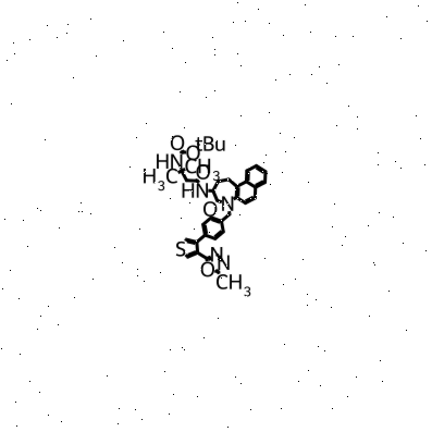 Cc1nnc(-c2cscc2-c2ccc(CN3C(=O)C(NC(=O)CC(C)(C)NC(=O)OC(C)(C)C)CCc4c3ccc3ccccc43)cc2)o1